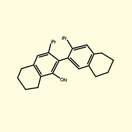 CC(C)c1cc2c(cc1-c1c(C(C)C)cc3c(c1O)CCCC3)CCCC2